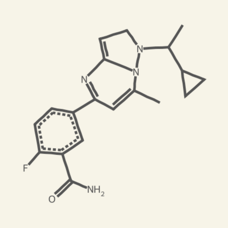 CC1=CC(c2ccc(F)c(C(N)=O)c2)=NC2=CCN(C(C)C3CC3)N12